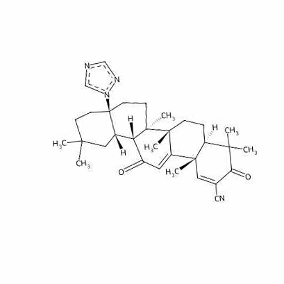 CC1(C)CC[C@]2(n3cncn3)CC[C@]3(C)[C@H](C(=O)C=C4[C@@]5(C)C=C(C#N)C(=O)C(C)(C)[C@@H]5CC[C@]43C)[C@@H]2C1